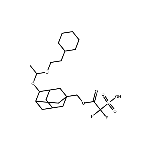 CC(OCCC1CCCCC1)OC1C2CC3CC1CC(COC(=O)C(F)(F)S(=O)(=O)O)(C3)C2